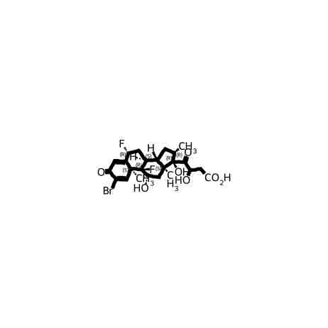 C[C@@H]1C[C@H]2[C@@H]3C[C@@H](F)C4=CC(=O)C(Br)=C[C@]4(C)[C@@]3(F)[C@@H](O)C[C@]2(C)[C@@]1(O)C(=O)C(O)CC(=O)O